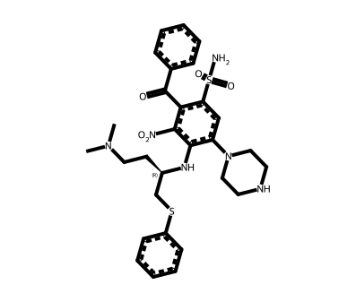 CN(C)CC[C@H](CSc1ccccc1)Nc1c(N2CCNCC2)cc(S(N)(=O)=O)c(C(=O)c2ccccc2)c1[N+](=O)[O-]